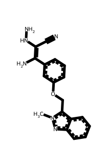 Cn1nc2ccccc2c1COc1cccc(/C(N)=C(\C#N)NN)c1